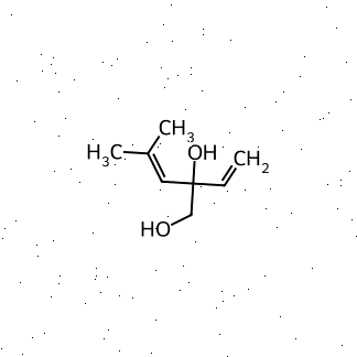 C=CC(O)(C=C(C)C)CO